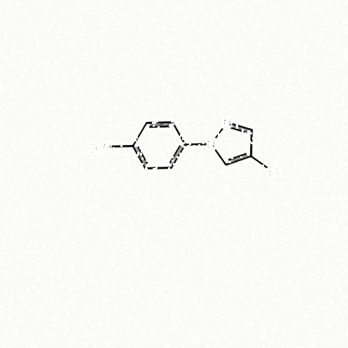 CCc1cnn(-c2ccc([N+](=O)[O-])cc2)c1